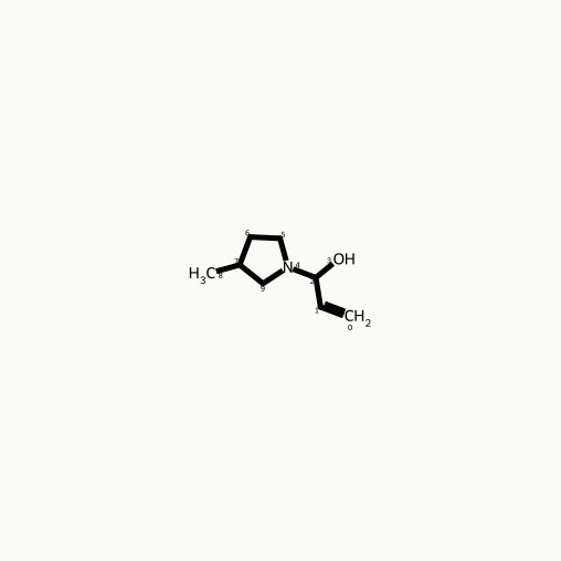 C=CC(O)N1CCC(C)C1